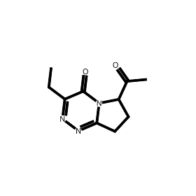 CCc1nnc2n(c1=O)C(C(C)=O)CC2